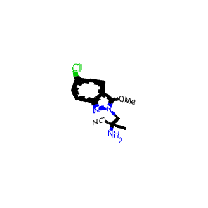 COc1c2cc(Cl)ccc2nn1CC(C)(N)C#N